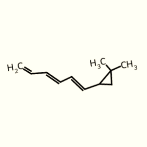 C=CC=CC=CC1CC1(C)C